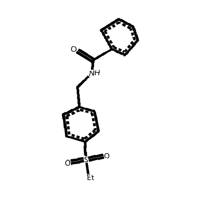 CCS(=O)(=O)c1ccc(CNC(=O)c2ccccc2)cc1